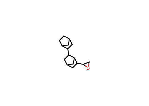 C1CC2CC1CC2C1CC2CC(C3CO3)C1C2